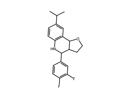 CC(C)c1ccc2c(c1)C1OCCC1C(c1ccc(F)c(F)c1)N2